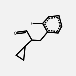 O=CC(Cc1ccccc1F)C1CC1